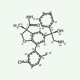 C[C@]1(C(N)=O)COc2c1cc([C@@](O)(CN)c1ccccc1)nc2-c1cc(Cl)ccc1F